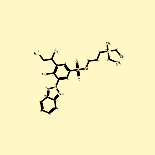 CCC(C)c1cc(S(=O)(=O)NCCC[N+](C)(CC)CC)cc(-n2nc3ccccc3n2)c1O